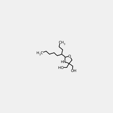 CCCCCC(CCC)C1NC(CO)(CO)CO1